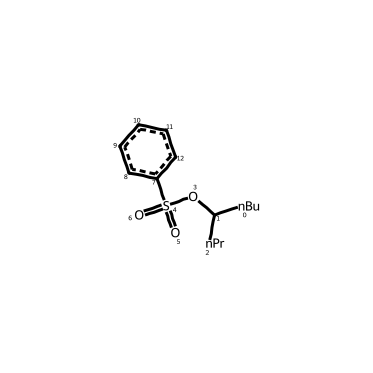 CCCCC(CCC)OS(=O)(=O)c1ccccc1